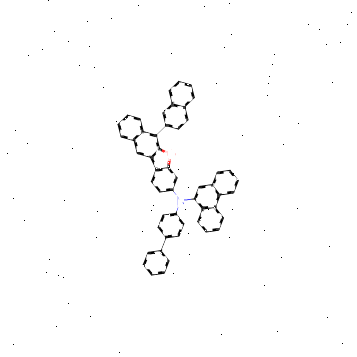 c1ccc(-c2ccc(N(c3ccc4c(c3)oc3c(-c5ccc6ccccc6c5)c5ccccc5cc34)c3cc4ccccc4c4ccccc34)cc2)cc1